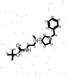 CN(CCNC(=O)OC(C)(C)C)[C@H]1CCN(Cc2ccccc2)C1